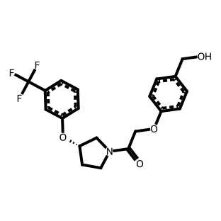 O=C(COc1ccc(CO)cc1)N1CC[C@H](Oc2cccc(C(F)(F)F)c2)C1